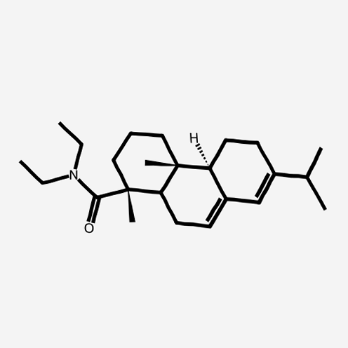 CCN(CC)C(=O)[C@]1(C)CCC[C@@]2(C)C1CC=C1C=C(C(C)C)CC[C@@H]12